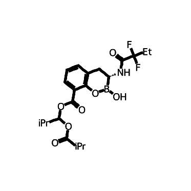 CCC(F)(F)C(=O)N[C@H]1Cc2cccc(C(=O)OC(OC(=O)C(C)C)C(C)C)c2OB1O